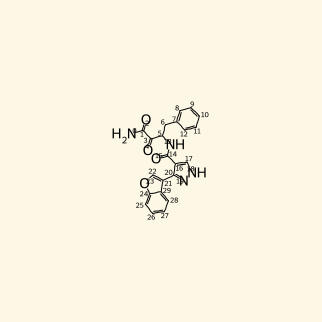 NC(=O)C(=O)C(Cc1ccccc1)NC(=O)c1c[nH]nc1-c1coc2ccccc12